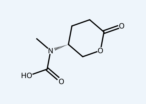 CN(C(=O)O)[C@@H]1CCC(=O)OC1